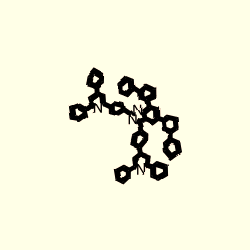 C1=CC(c2ccccc2)CC(c2cc(-c3cccc(-c4ccccc4)c3)c3nc(-c4ccc(-c5cc(-c6ccccc6)cc(-c6ccccc6)n5)cc4)nc(-c4ccc(C5C=C(c6ccccc6)N=C(c6ccccc6)C5)cc4)c3c2)=C1